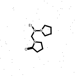 CCN(CN1CCCC1=O)N1CCCC1